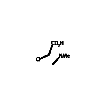 CNC.O=C(O)CCl